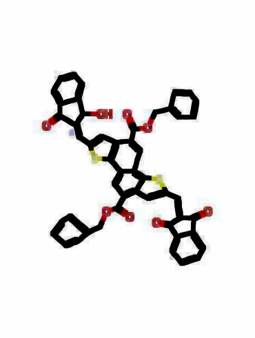 O=C1C(=Cc2cc3c(C(=O)OCc4ccccc4)cc4c(cc(C(=O)OCc5ccccc5)c5cc(/C=C6/C(=O)c7ccccc7C6O)sc54)c3s2)C(=O)c2ccccc21